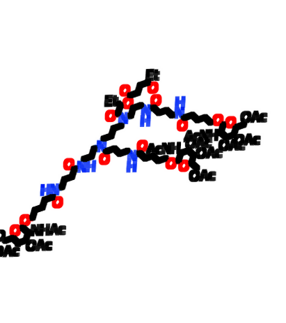 CCC(=O)CCC(=O)OC(CC)C(=O)N(CCCCN(CCCNC(=O)CCCNC(=O)CCCCOC1OC(COC(C)=O)C(OC(C)=O)C(OC(C)=O)C1NC(C)=O)C(=O)CCCNC(=O)CCCCOC1OC(COC(C)=O)C(OC(C)=O)C(OC(C)=O)C1NC(C)=O)CCCNC(=O)CCCNC(=O)CCCCOC1OC(COC(C)=O)C(OC(C)=O)C(OC(C)=O)C1NC(C)=O